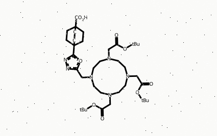 CC(C)(C)OC(=O)CN1CCN(CC(=O)OC(C)(C)C)CCN(Cc2nnc(C34CCC(C(=O)O)(CC3)CC4)o2)CCN(CC(=O)OC(C)(C)C)CC1